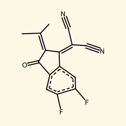 CC(C)=C1C(=O)c2cc(F)c(F)cc2C1=C(C#N)C#N